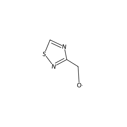 [O]Cc1ncsn1